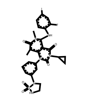 Cc1c(=O)n(C)c(Nc2ccc(I)cc2F)c2c(=O)n(C3CC3)c(=O)n(-c3cccc(N4CCNS4(=O)=O)c3)c12